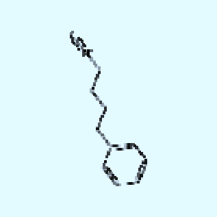 [C-]#[N+]CCCCc1ccccc1